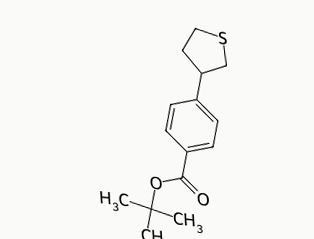 CC(C)(C)OC(=O)c1ccc(C2CCSC2)cc1